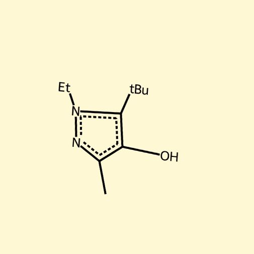 CCn1nc(C)c(O)c1C(C)(C)C